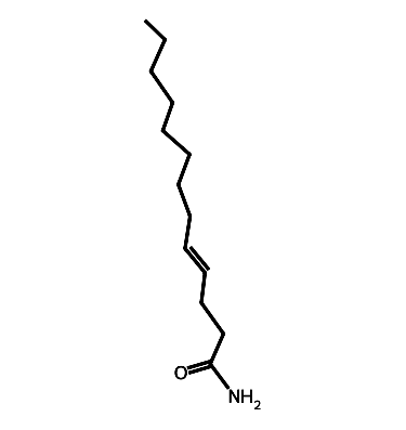 CCCCCCCCC=CCCC(N)=O